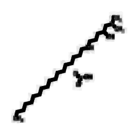 CCCCCCCCCCCCCCCCCCNCCCC(O)CN(C)C.O=[N+]([O-])O